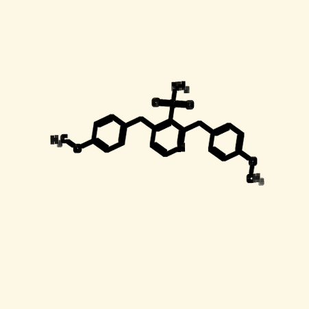 COc1ccc(Cc2ccnc(Cc3ccc(OC)cc3)c2S(N)(=O)=O)cc1